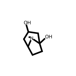 CN1C2CCC1(O)CC(O)C2